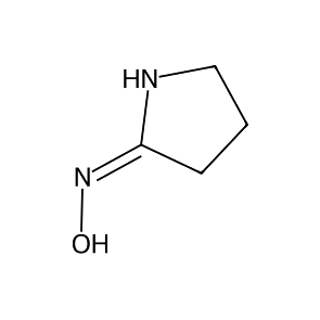 O/N=C1\CCCN1